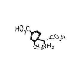 Cc1cc(C(=O)O)ccc1[C@@H](N)C(=O)O